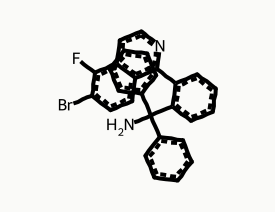 NC(c1ccccc1)(c1ccccc1)c1ccccc1-c1nccc2c(F)c(Br)ccc12